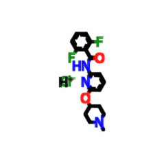 CN1CCC(Oc2cccc(NC(=O)c3c(F)cccc3F)n2)CC1.[Cl-].[H+]